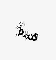 COC(=O)c1ccc(N=C2NC(=O)C(=Cc3ccc4c(c3)CCO4)S2)c(Cl)c1